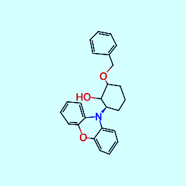 OC1C(OCc2ccccc2)CCC[C@H]1N1c2ccccc2Oc2ccccc21